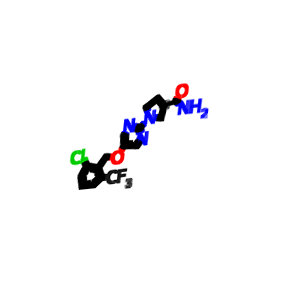 NC(=O)[C@@H]1CCN(c2ncc(OCc3c(Cl)cccc3C(F)(F)F)cn2)C1